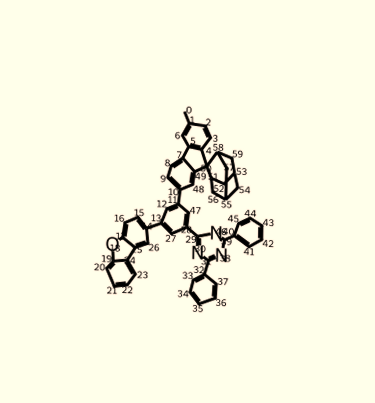 Cc1ccc2c(c1)-c1ccc(-c3cc(-c4ccc5oc6ccccc6c5c4)cc(-c4nc(-c5ccccc5)nc(-c5ccccc5)n4)c3)cc1C21C2CC3CC(C2)CC1C3